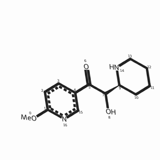 COc1ccc(C(=O)C(O)[C@@H]2CCCCN2)cn1